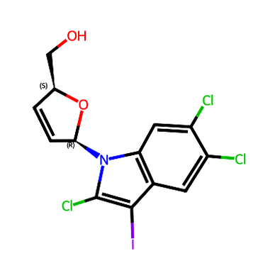 OC[C@@H]1C=C[C@H](n2c(Cl)c(I)c3cc(Cl)c(Cl)cc32)O1